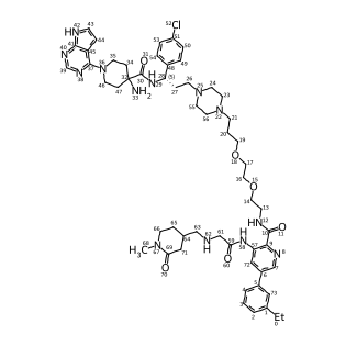 CCc1cccc(-c2cnc(C(=O)NCCOCCOCCCN3CCN(CC[C@H](NC(=O)C4(N)CCN(c5ncnc6[nH]ccc56)CC4)c4ccc(Cl)cc4)CC3)c(NC(=O)CNCC3CCN(C)C(=O)C3)c2)c1